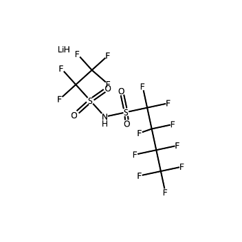 O=S(=O)(NS(=O)(=O)C(F)(F)C(F)(F)C(F)(F)C(F)(F)F)C(F)(F)C(F)(F)F.[LiH]